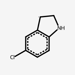 Clc1ccc2c(c1)[CH]CN2